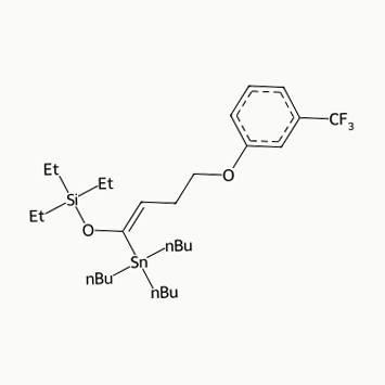 CCC[CH2][Sn]([CH2]CCC)([CH2]CCC)[C](=CCCOc1cccc(C(F)(F)F)c1)O[Si](CC)(CC)CC